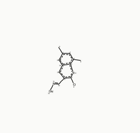 Cc1cc(C)c2nc(Cl)c(C=NO)cc2c1